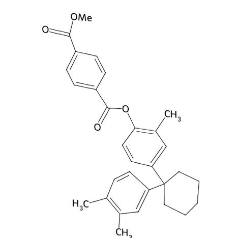 COC(=O)c1ccc(C(=O)Oc2ccc(C3(c4ccc(C)c(C)c4)CCCCC3)cc2C)cc1